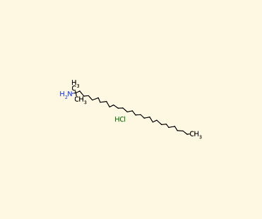 CCCCCCCCCCCCCCCCCCCCCCCCCCCC(C)(C)N.Cl